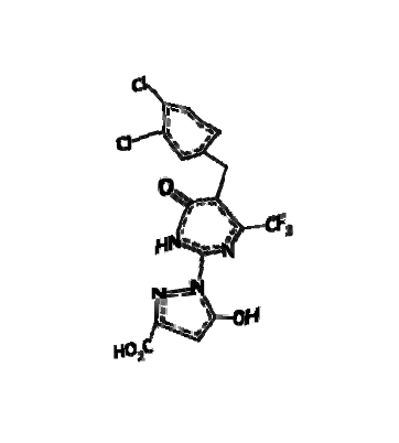 O=C(O)c1cc(O)n(-c2nc(C(F)(F)F)c(Cc3ccc(Cl)c(Cl)c3)c(=O)[nH]2)n1